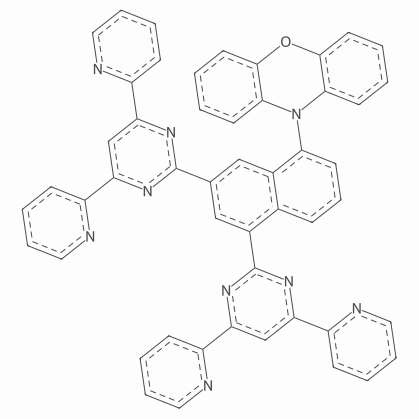 c1ccc(-c2cc(-c3ccccn3)nc(-c3cc(-c4nc(-c5ccccn5)cc(-c5ccccn5)n4)c4cccc(N5c6ccccc6Oc6ccccc65)c4c3)n2)nc1